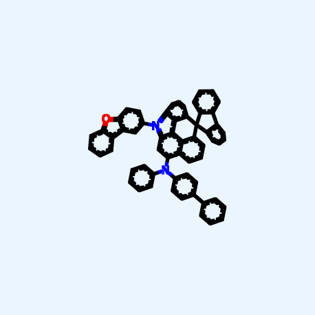 c1ccc(-c2ccc(N(c3ccccc3)c3cc4c5c6c(cccc36)C3(c6ccccc6-c6ccccc63)c3cccc(c35)n4-c3ccc4oc5ccccc5c4c3)cc2)cc1